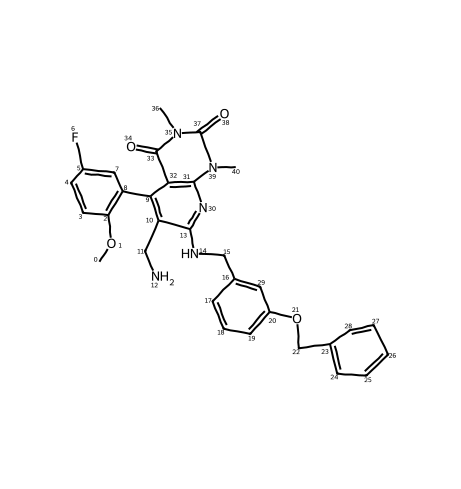 COc1ccc(F)cc1-c1c(CN)c(NCc2cccc(OCc3ccccc3)c2)nc2c1c(=O)n(C)c(=O)n2C